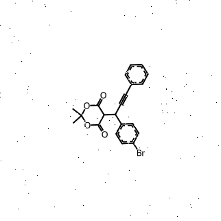 CC1(C)OC(=O)C(C(C#Cc2ccccc2)c2ccc(Br)cc2)C(=O)O1